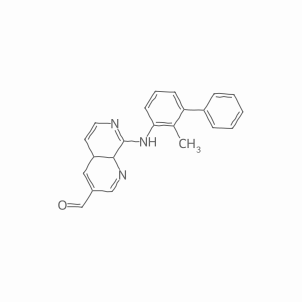 Cc1c(NC2=NC=CC3C=C(C=O)C=NC23)cccc1-c1ccccc1